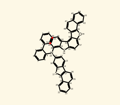 c1ccc(-c2ccccc2N(c2ccc3c(c2)sc2c4ccccc4ccc32)c2cccc3c2sc2ccc4oc5c6ccccc6ccc5c4c23)cc1